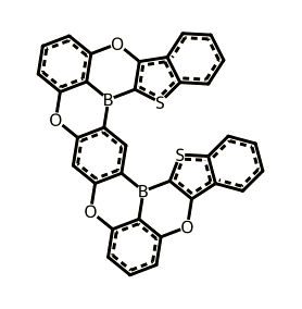 c1cc2c3c(c1)Oc1c(sc4ccccc14)B3c1cc3c(cc1O2)Oc1cccc2c1B3c1sc3ccccc3c1O2